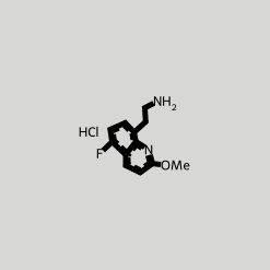 COc1ccc2c(F)ccc(CCN)c2n1.Cl